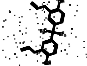 C=CCc1cc(C(c2ccc(O)c(CC=C)c2)(C(F)(F)F)C(F)(F)F)ccc1O